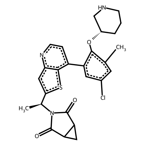 Cc1cc(Cl)cc(-c2ccnc3cc([C@H](C)N4C(=O)C5CC5C4=O)sc23)c1O[C@H]1CCCNC1